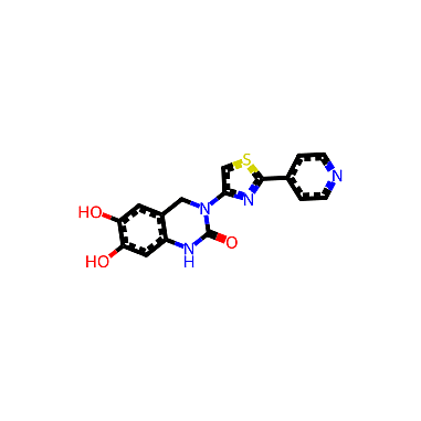 O=C1Nc2cc(O)c(O)cc2CN1c1csc(-c2ccncc2)n1